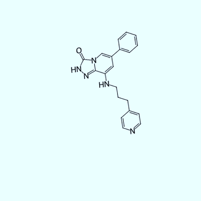 O=c1[nH]nc2c(NCCCc3ccncc3)cc(-c3ccccc3)cn12